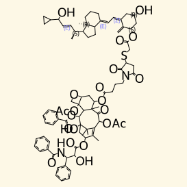 C=C1/C(=C\C=C2/CCC[C@@]3(C)C2CCC3[C@@H](C)/C=C/C(O)C2CC2)C[C@@H](O)C[C@@H]1OC(=O)CSC1CC(=O)N(CCCC(=O)OC2CC3OCC3(OC(C)=O)C3C(OC(=O)c4ccccc4)C4(O)CC(OC(=O)C(O)C(NC(=O)c5ccccc5)c5ccccc5)C(C)=C(C(OC(C)=O)C(=O)C23C)C4(C)C)C1=O